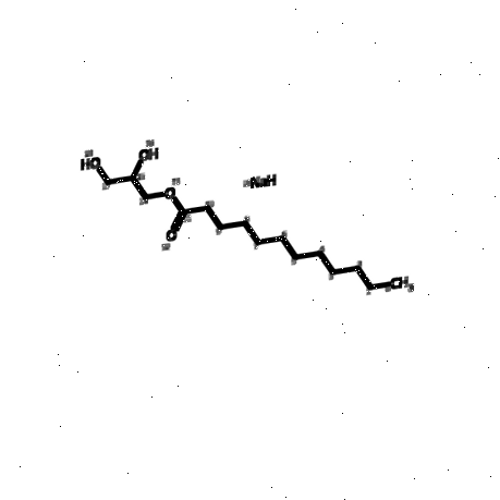 CCCCCCCCCCCC(=O)OCC(O)CO.[NaH]